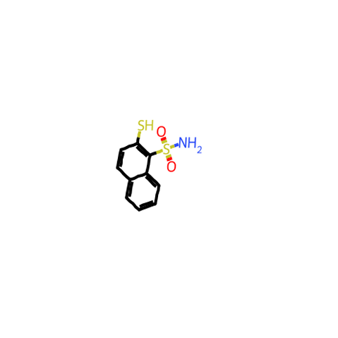 NS(=O)(=O)c1c(S)ccc2ccccc12